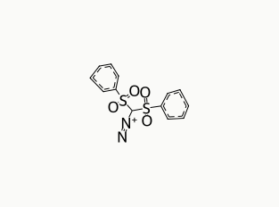 N#[N+]C(S(=O)(=O)c1ccccc1)S(=O)(=O)c1ccccc1